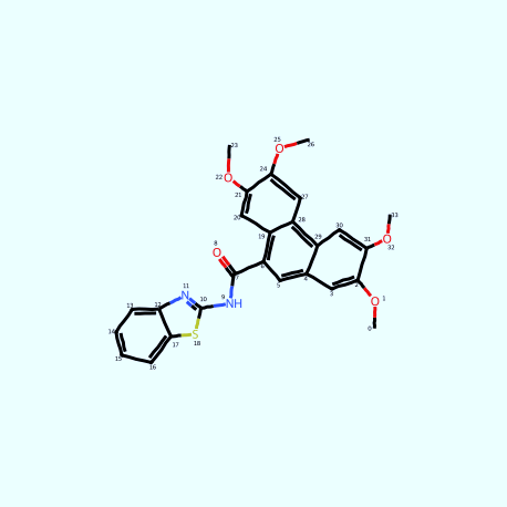 COc1cc2cc(C(=O)Nc3nc4ccccc4s3)c3cc(OC)c(OC)cc3c2cc1OC